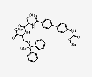 COC(=O)C(CO[Si](c1ccccc1)(c1ccccc1)C(C)(C)C)NC(=O)C(CO)NC(=O)c1ccc(-c2ccc(NC(=O)OC(C)(C)C)cc2)cc1